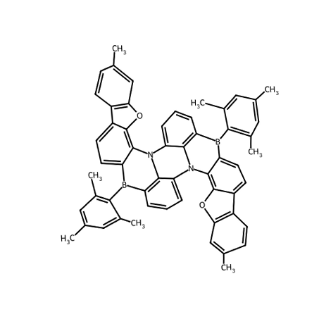 Cc1cc(C)c(B2c3cccc4c3N(c3cccc5c3N4c3c(ccc4c3oc3cc(C)ccc34)B5c3c(C)cc(C)cc3C)c3c2ccc2c3oc3cc(C)ccc32)c(C)c1